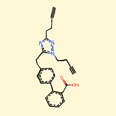 C#CCCc1nc(Cc2ccc(-c3ccccc3C(=O)O)cc2)n(CCC#C)n1